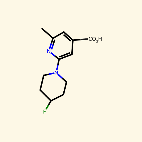 Cc1cc(C(=O)O)cc(N2CCC(F)CC2)n1